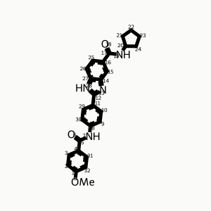 COc1ccc(C(=O)Nc2ccc(-c3nc4cc(C(=O)NC5CCCC5)ccc4[nH]3)cc2)cc1